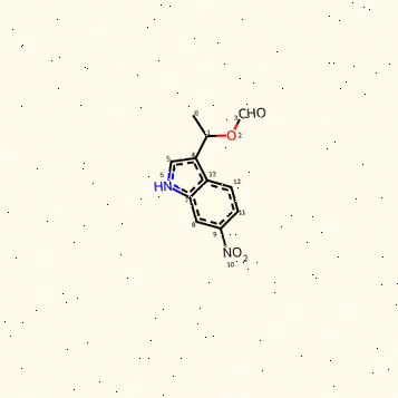 CC(OC=O)c1c[nH]c2cc([N+](=O)[O-])ccc12